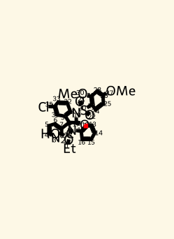 CCOc1ncccc1C1(N(C(=O)O)c2ccccc2)C(=O)N(S(=O)(=O)c2ccc(OC)cc2OC)c2ccc(Cl)cc21